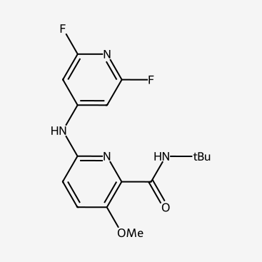 COc1ccc(Nc2cc(F)nc(F)c2)nc1C(=O)NC(C)(C)C